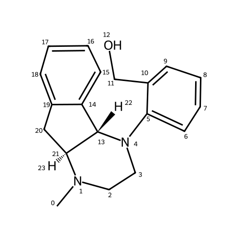 CN1CCN(c2ccccc2CO)[C@H]2c3ccccc3C[C@@H]21